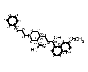 COc1cnc2cccc([C@@H](O)CC[C@@H]3CCN(CCSc4ccccc4)C[C@@H]3C(=O)O)c2c1